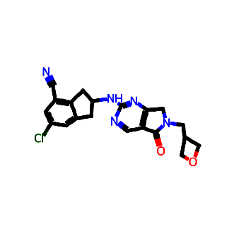 N#Cc1cc(Cl)cc2c1CC(Nc1ncc3c(n1)CN(CC1COC1)C3=O)C2